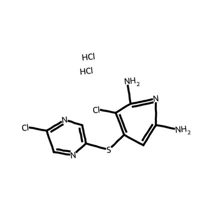 Cl.Cl.Nc1cc(Sc2cnc(Cl)cn2)c(Cl)c(N)n1